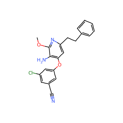 COc1nc(CCc2ccccc2)cc(Oc2cc(Cl)cc(C#N)c2)c1N